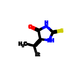 CC/C(C)=C1\NC(=S)NC1=O